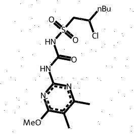 CCCCC(Cl)CS(=O)(=O)NC(=O)Nc1nc(C)c(C)c(OC)n1